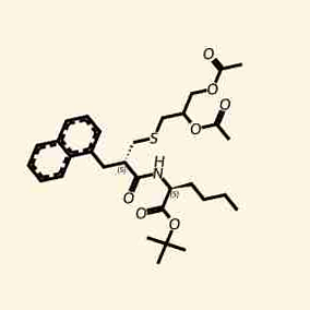 CCCC[C@H](NC(=O)[C@@H](CSCC(COC(C)=O)OC(C)=O)Cc1cccc2ccccc12)C(=O)OC(C)(C)C